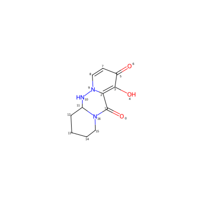 O=C1c2c(O)c(=O)ccn2NC2CCCCN12